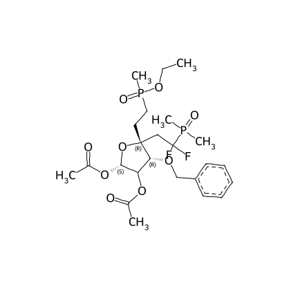 CCOP(C)(=O)CC[C@]1(CC(F)(F)P(C)(C)=O)O[C@@H](OC(C)=O)C(OC(C)=O)[C@H]1OCc1ccccc1